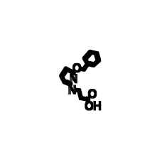 CN(CCC(=O)O)c1cccc(OCc2ccccc2)n1